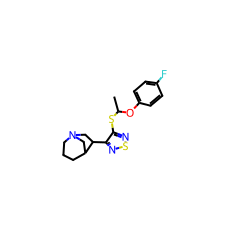 CC(Oc1ccc(F)cc1)Sc1nsnc1C1CN2CCCC1C2